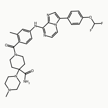 Cc1cc(Nc2nccn3c(-c4ccc(OC(F)F)cc4)cnc23)ccc1C(=O)N1CCC(C(N)=O)(N2CCN(C)CC2)CC1